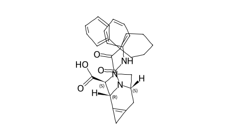 O=C(O)[C@@H]1[C@H]2C3=C(C3)C[C@@H](CN1C(=O)C1(c3ccccc3)CCCCC1)N2C(=O)Nc1ccccc1